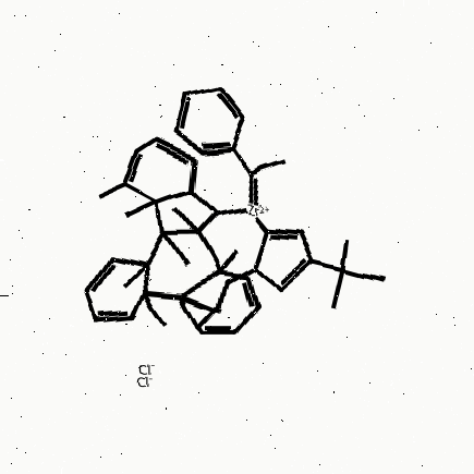 CCCC1C=C(C(C)(C)C)C=[C]1/[Zr+2](=[C](\C)c1ccccc1)[CH]1C2C=CC=C(C)C2(C)C2(C)C3(C)C=CC=CC3(C)C3(C)C=CC=CC3(C)C12C.[Cl-].[Cl-]